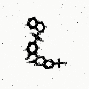 CC(C)(O)c1ccc2c(c1)CN(c1cc(S(=O)(=O)N3CCCc4ccccc43)ccc1Cl)C(=O)N2